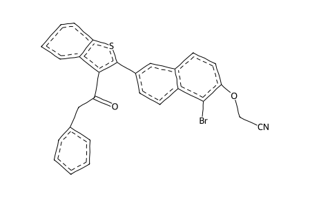 N#CCOc1ccc2cc(-c3sc4ccccc4c3C(=O)Cc3ccccc3)ccc2c1Br